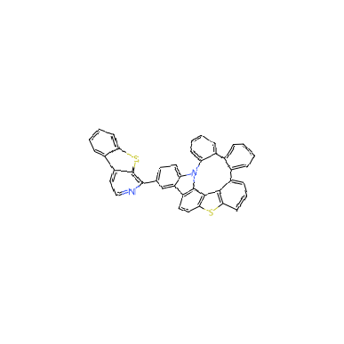 c1ccc2c(c1)sc1c(-c3ccc4c(c3)c3ccc5sc6cccc7c8ccccc8c8ccccc8n4c3c5c67)nccc12